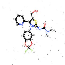 CN(C)C(=O)/N=c1\sc(CO)c(-c2ccccn2)n1-c1ccc2c(c1)OC(F)(F)O2